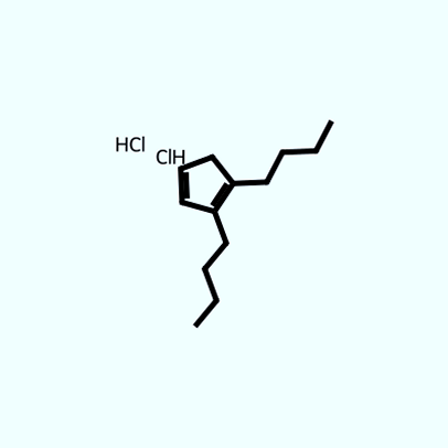 CCCCC1=C(CCCC)CC=C1.Cl.Cl